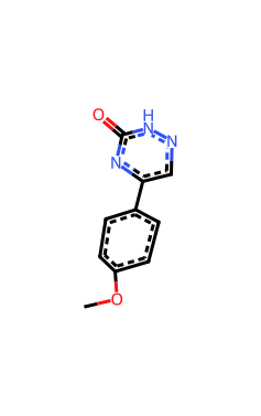 COc1ccc(-c2cn[nH]c(=O)n2)cc1